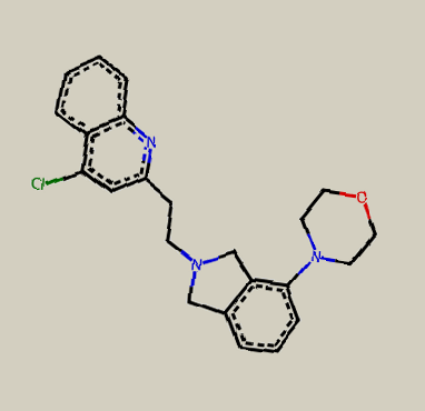 Clc1cc(CCN2Cc3cccc(N4CCOCC4)c3C2)nc2ccccc12